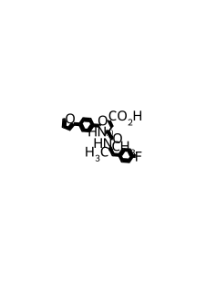 CC(C)(Cc1ccc(F)cc1)NC(=O)[C@H](CCC(=O)O)NC(=O)c1ccc(-c2ccco2)cc1